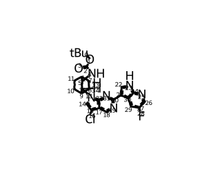 CC(C)(C)OC(=O)N[C@@H]1C2CCC(CC2)[C@H]1n1cc(Cl)c2cnc(-c3c[nH]c4ncc(F)cc34)nc21